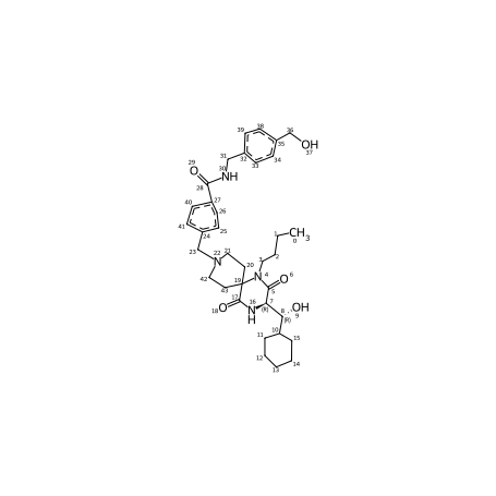 CCCCN1C(=O)[C@@H]([C@H](O)C2CCCCC2)NC(=O)C12CCN(Cc1ccc(C(=O)NCc3ccc(CO)cc3)cc1)CC2